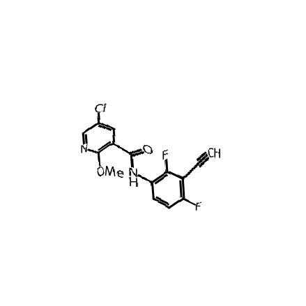 C#Cc1c(F)ccc(NC(=O)c2cc(Cl)cnc2OC)c1F